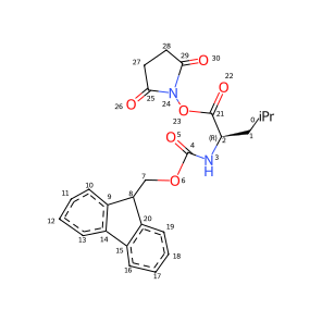 CC(C)C[C@@H](NC(=O)OCC1c2ccccc2-c2ccccc21)C(=O)ON1C(=O)CCC1=O